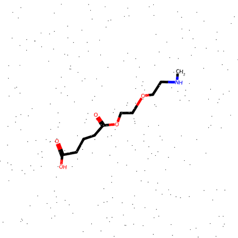 CNCCOCCOC(=O)CCCC(=O)O